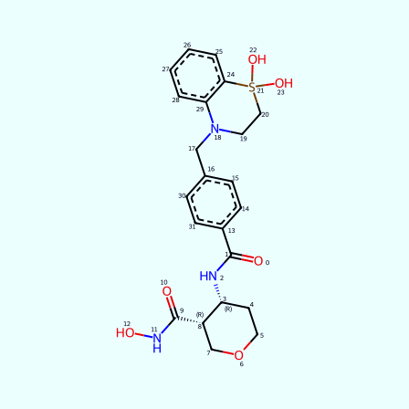 O=C(N[C@@H]1CCOC[C@@H]1C(=O)NO)c1ccc(CN2CCS(O)(O)c3ccccc32)cc1